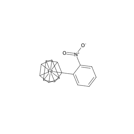 O=[N+]([O-])c1ccccc1[C]12[CH]3[CH]4[CH]5[CH]1[Fe]45321678[CH]2[CH]1[CH]6[CH]7[CH]28